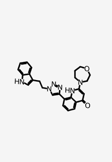 O=c1cc(N2CCCOCC2)[nH]c2c(-c3cn(CCc4c[nH]c5ccccc45)nn3)cccc12